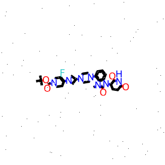 Cn1c(=O)n(C2CCC(=O)NC2=O)c2cccc(N3CCN(C4CN(C5=C(F)CN(C(=O)OC(C)(C)C)CC5)C4)CC3)c21